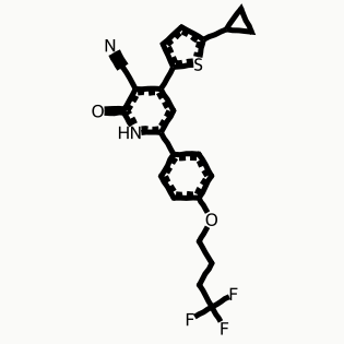 N#Cc1c(-c2ccc(C3CC3)s2)cc(-c2ccc(OCCCC(F)(F)F)cc2)[nH]c1=O